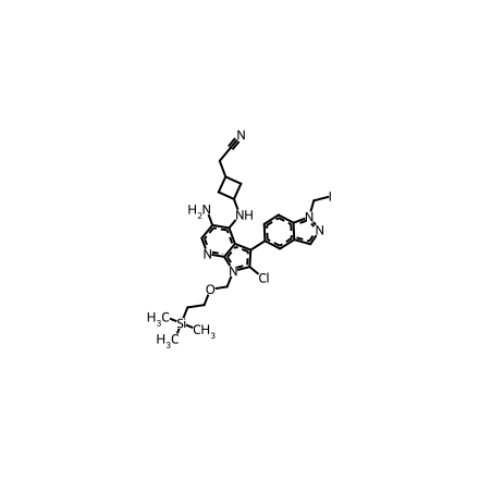 C[Si](C)(C)CCOCn1c(Cl)c(-c2ccc3c(cnn3CI)c2)c2c(NC3CC(CC#N)C3)c(N)cnc21